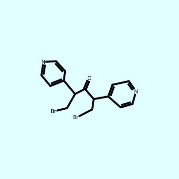 O=C(C(CBr)c1ccncc1)C(CBr)c1ccncc1